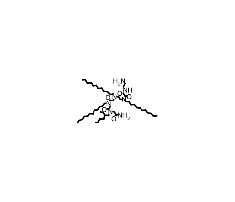 CCCCCCCCCCCCN(CC(=O)N(CCCCCCCCCCCC)CC(=O)N(CCCCCCCCCCCC)CC(=O)N(CC(N)=O)CC(CC)CCCC)C(=O)CNCCN